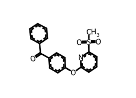 CS(=O)(=O)c1cccc(Oc2ccc(C(=O)c3ccccc3)cc2)n1